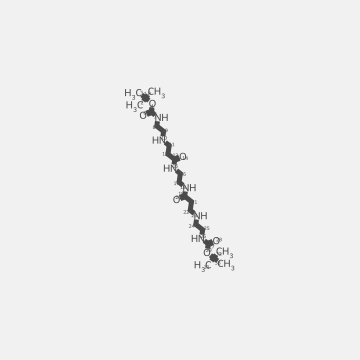 CC(C)(C)OC(=O)NCCNCCC(=O)NCCNC(=O)CCNCCNC(=O)OC(C)(C)C